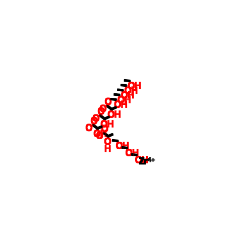 CC(O)C(=O)[O-].CC(O)C(=O)[O-].CC(O)C(=O)[O-].CC(O)C(=O)[O-].CCO.CCO.CCO.CCO.CCO.CCO.CCO.CCO.[Zr+4]